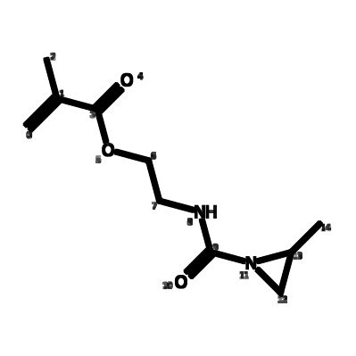 C=C(C)C(=O)OCCNC(=O)N1CC1C